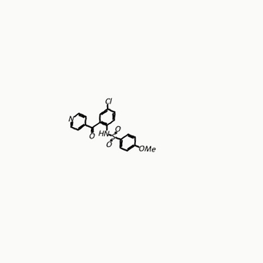 COc1ccc(S(=O)(=O)Nc2ccc(Cl)cc2C(=O)c2ccncc2)cc1